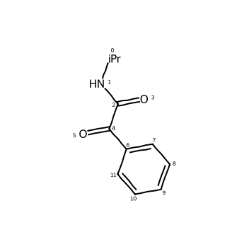 CC(C)NC(=O)C(=O)c1ccccc1